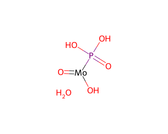 O.[O]=[Mo]([OH])[P](=O)(O)O